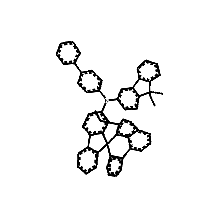 CCc1ccc2cccc3c2c1C1(c2ccccc2-c2ccc(N(c4ccc(-c5ccccc5)cc4)c4ccc5c(c4)-c4ccccc4C5(C)C)cc21)c1ccccc1-3